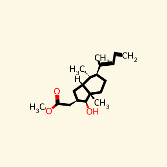 C=C/C=C(\C)[C@H]1CC[C@]2(C)[C@@H](O)[C@@H](CC(=O)OC)C[C@H]2[C@@H]1C